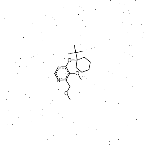 COCc1nccc(OC2(C(C)(C)C)CCCCC2)c1OC